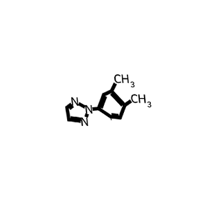 Cc1c[c]c(-n2nccn2)cc1C